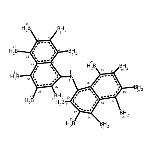 Bc1c(B)c(B)c2c(Nc3c(B)c(B)c(B)c4c(B)c(B)c(B)c(B)c34)c(B)c(B)c(B)c2c1B